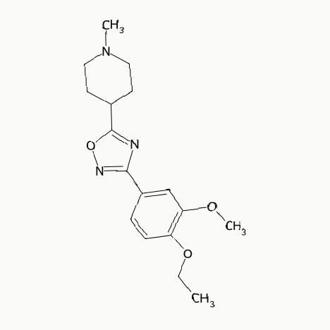 CCOc1ccc(-c2noc(C3CCN(C)CC3)n2)cc1OC